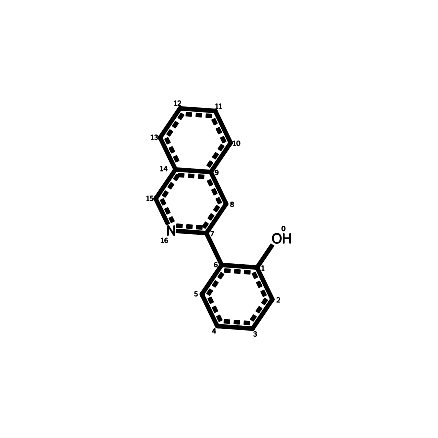 Oc1ccccc1-c1cc2ccccc2cn1